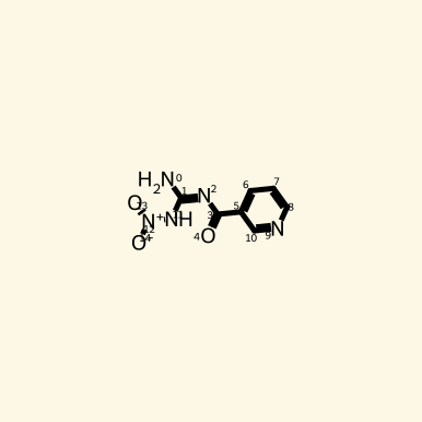 NC(=NC(=O)c1cccnc1)N[N+](=O)[O-]